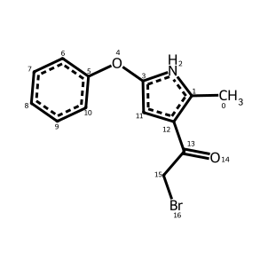 Cc1[nH]c(Oc2ccccc2)cc1C(=O)CBr